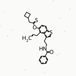 C=CCc1c(OC(=S)CC2CCC2)ccc2scc(CCNC(=O)c3ccccc3)c12